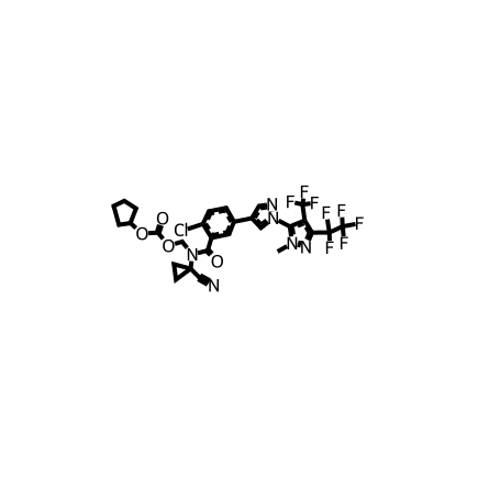 Cn1nc(C(F)(F)C(F)(F)F)c(C(F)(F)F)c1-n1cc(-c2ccc(Cl)c(C(=O)N(COC(=O)OC3CCCC3)C3(C#N)CC3)c2)cn1